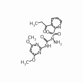 CCC(=O)c1cccnc1S(=O)(=O)N(N)C(=O)Nc1nc(OC)cc(OC)n1